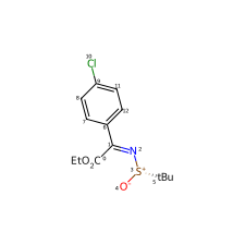 CCOC(=O)/C(=N\[S@@+]([O-])C(C)(C)C)c1ccc(Cl)cc1